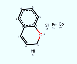 C1=Cc2ccccc2OC1.[Co].[Fe].[Ni].[Si]